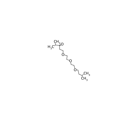 CC(C)CCOCCOCCOCCC(=O)C(C)C